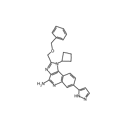 Nc1nc2cc(-c3ccn[nH]3)ccc2c2c1nc(COCc1ccccc1)n2C1CCC1